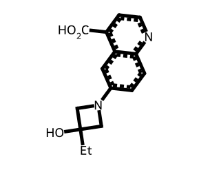 CCC1(O)CN(c2ccc3nccc(C(=O)O)c3c2)C1